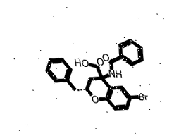 O=C(NC1(C(=O)O)C[C@@H](Cc2ccccc2)Oc2ccc(Br)cc21)c1ccccc1